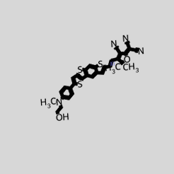 CN(CCO)c1ccc(-c2cc3sc4cc5sc(/C=C/C6=C(C#N)C(=C(C#N)C#N)OC6(C)C)cc5cc4c3s2)cc1